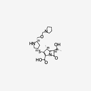 C[C@H]1C(S[C@@H]2CN[C@H](COCN3CCCC3)C2)=C(C(=O)O)N2C(=O)[C@H]([C@@H](C)O)C12